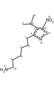 CN(C)c1c(CCCCCCN)nsc1[N+](=O)[O-]